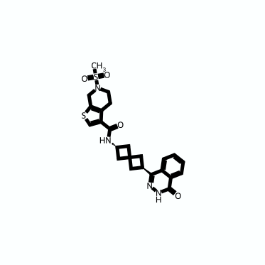 CS(=O)(=O)N1CCc2c(C(=O)N[C@H]3CC4(C3)C[C@H](c3n[nH]c(=O)c5ccccc53)C4)csc2C1